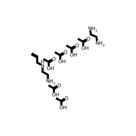 C=CCNCCN.CC(=O)O.CC(=O)O.CC(=O)O.CC(=O)O.CC(=O)O.CC(=O)O.NCCN